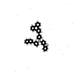 c1cc(-c2ccc3ccccc3c2)cc(N(c2ccc(-c3ccc4c5ccccc5c5ccccc5c4c3)cc2)c2ccc3oc4ccccc4c3c2)c1